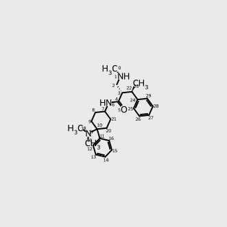 CNC[C@@H](C(=O)NC1CCC(c2ccccc2)(N(C)C)CC1)[C@@H](C)c1ccccc1